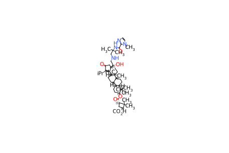 CC(C)C1=C2[C@H]3CC[C@@H]4[C@@]5(C)CC[C@H](OC(=O)[C@H]6C[C@@H](C(=O)O)C6(C)C)C(C)(C)[C@@H]5CC[C@@]4(C)[C@]3(C)CC[C@@]2([C@@H](O)CNCC(C)(C)NC(=O)c2nccn2C)CC1=O